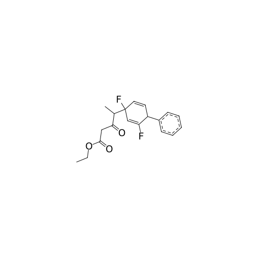 CCOC(=O)CC(=O)C(C)C1(F)C=CC(c2ccccc2)C(F)=C1